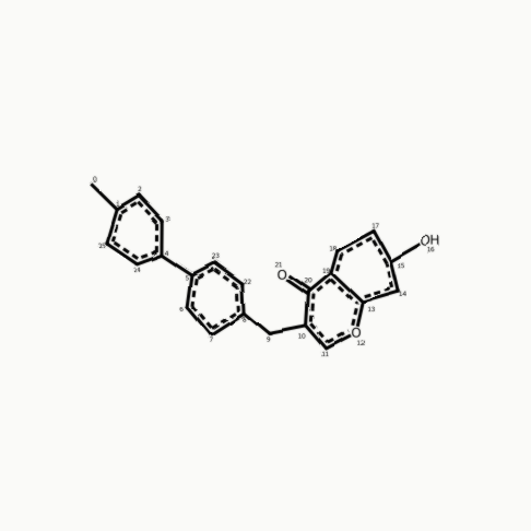 Cc1ccc(-c2ccc(Cc3coc4cc(O)ccc4c3=O)cc2)cc1